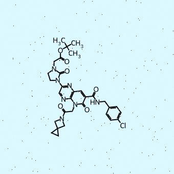 CC(C)(C)OC(=O)CN1CCN(c2cnc3c(cc(C(=O)NCc4ccc(Cl)cc4)c(=O)n3CC(=O)N3CC4(CC4)C3)n2)C1=O